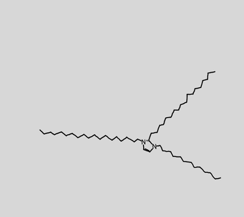 CCCCCCCCCCCCCCCCCCC[n+]1ccn(CCCCCCCCCCCCC)c1CCCCCCCCCCCCCCCCCC